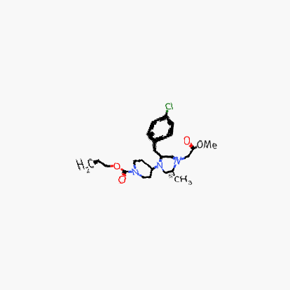 C=CCOC(=O)N1CCC(N2C[C@H](C)N(CC(=O)OC)CC2Cc2ccc(Cl)cc2)CC1